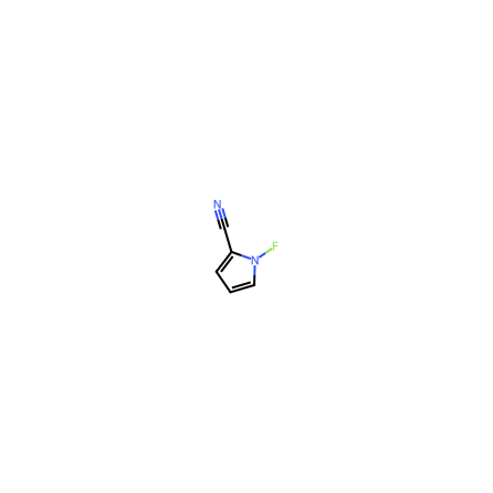 N#Cc1cccn1F